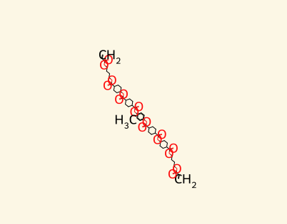 C=CC(=O)OCCCCOC(=O)C1CCC(OC(=O)C2CCC(C(=O)Oc3ccc(OC(=O)C4CCC(C(=O)OC5CCC(C(=O)OCCCCOC(=O)C=C)CC5)CC4)c(C)c3)CC2)CC1